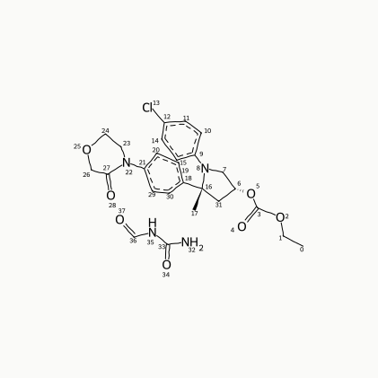 CCOC(=O)O[C@H]1CN(c2ccc(Cl)cc2)[C@@](C)(c2ccc(N3CCOCC3=O)cc2)C1.NC(=O)NC=O